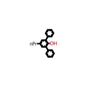 CCCc1cc(-c2ccccc2)c(O)c(-c2ccccc2)c1